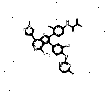 C=C(C)C(=O)Nc1ccc(-c2sc3c(-c4cnn(C)c4)cnc(N)c3c2-c2ccc(Oc3nccc(C)n3)c(Cl)c2)c(C)c1